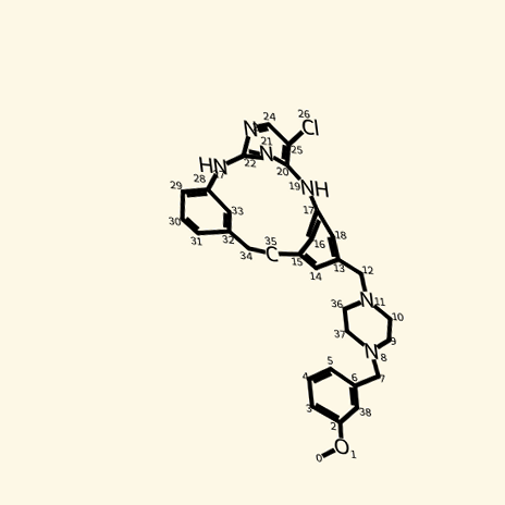 COc1cccc(CN2CCN(Cc3cc4cc(c3)Nc3nc(ncc3Cl)Nc3cccc(c3)CC4)CC2)c1